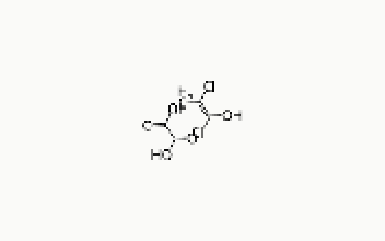 CC(Cl)=C(O)Cl.O=C(O)C(=O)O